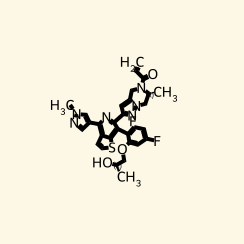 C=CC(=O)N1Cc2cc(-c3nc(-c4cnn(C)c4)c4ccsc4c3-c3c(F)cc(F)cc3OC[C@@H](C)O)nn2C[C@H]1C